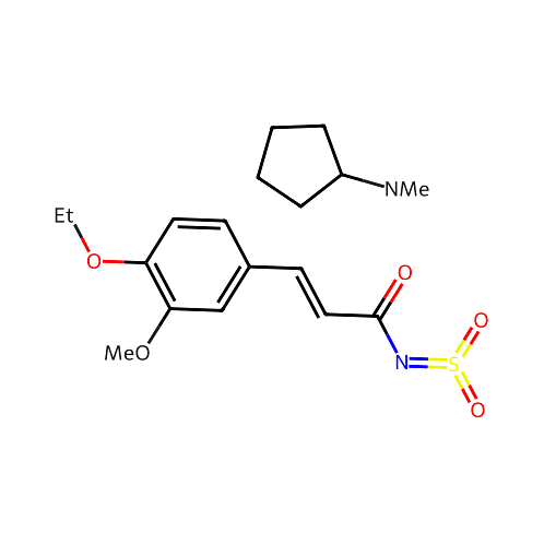 CCOc1ccc(C=CC(=O)N=S(=O)=O)cc1OC.CNC1CCCC1